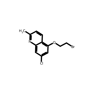 Cc1ccc2c(OCCBr)cc(Cl)cc2n1